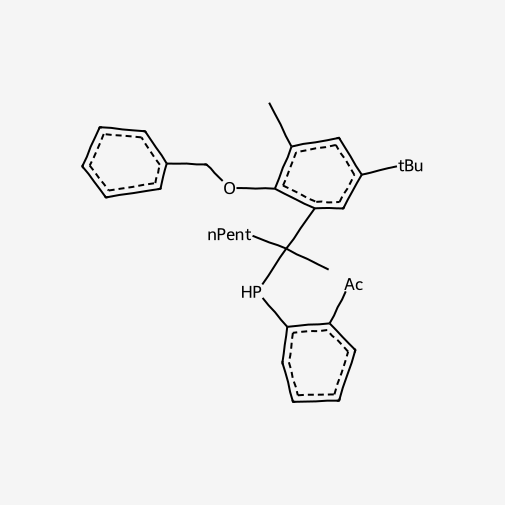 CCCCCC(C)(Pc1ccccc1C(C)=O)c1cc(C(C)(C)C)cc(C)c1OCc1ccccc1